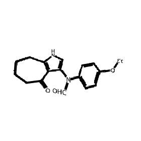 CCOc1ccc(N(C=O)c2c[nH]c3c2C(=O)CCCC3)cc1